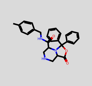 Cc1ccc(CNC(=O)C2CNCC3C(=O)OC(c4ccccc4)(c4ccccc4)N23)cc1